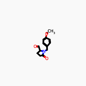 COc1ccc(CN2C(=O)CCC2C=O)cc1